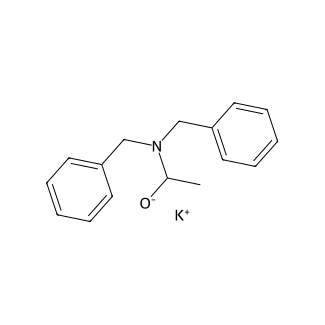 CC([O-])N(Cc1ccccc1)Cc1ccccc1.[K+]